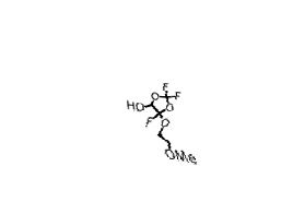 COCCOC1(F)OC(F)(F)OC1O